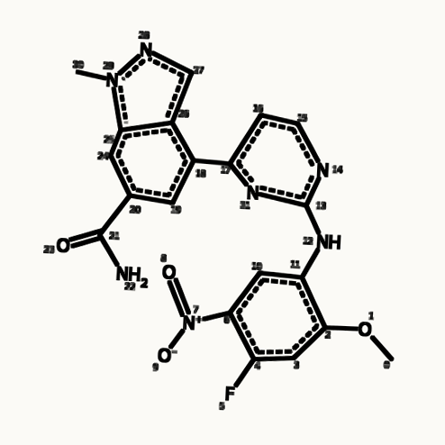 COc1cc(F)c([N+](=O)[O-])cc1Nc1nccc(-c2cc(C(N)=O)cc3c2cnn3C)n1